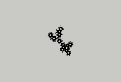 CC1(C)c2ccccc2-c2ccc(N(c3ccc(-c4ccc5c(c4)-c4ccccc4C54c5ccc6ccccc6c5Oc5c4ccc4ccccc54)cc3)c3ccc4sc5ccccc5c4c3)cc21